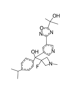 CC(C)c1ccc(C(O)(c2cncc(-c3noc(C(C)(C)O)n3)c2)C2(F)CN(C)C2)cc1